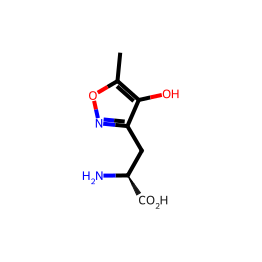 Cc1onc(C[C@H](N)C(=O)O)c1O